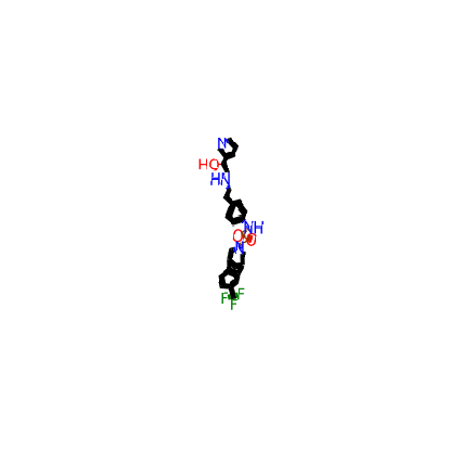 O=S(=O)(Nc1ccc(CCNC[C@H](O)c2cccnc2)cc1)N1CC2CC(C1)c1cc(C(F)(F)F)ccc12